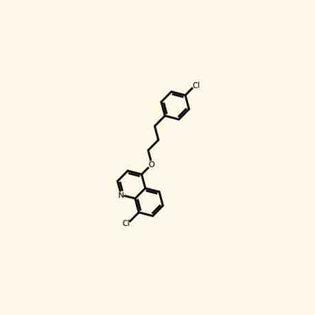 Clc1ccc(CCCOc2ccnc3c(Cl)cccc23)cc1